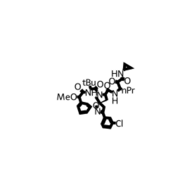 CCCC(NC(=O)C1C[C@]2(CC(c3cccc(Cl)c3)=NO2)CN1C(=O)C(NC(=O)C(OC)c1ccccc1)C(C)(C)C)C(=O)C(=O)NC1CC1